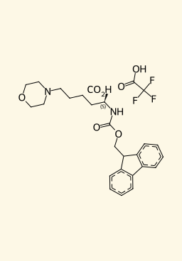 O=C(N[C@@H](CCCCN1CCOCC1)C(=O)O)OCC1c2ccccc2-c2ccccc21.O=C(O)C(F)(F)F